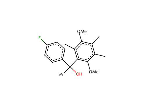 COc1c(C)c(C)c(OC)c(C(O)(c2ccc(F)cc2)C(C)C)c1C